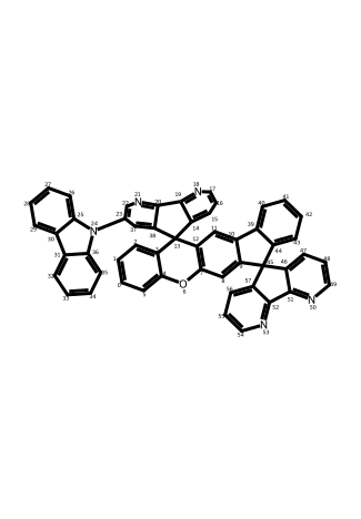 c1ccc2c(c1)Oc1cc3c(cc1C21c2cccnc2-c2ncc(-n4c5ccccc5c5ccccc54)cc21)-c1ccccc1C31c2cccnc2-c2ncccc21